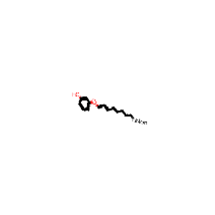 CCCCCCCCCCCCCCCCCOc1cccc(O)c1